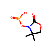 CC1(C)COC(=O)N1O[P](=O)O